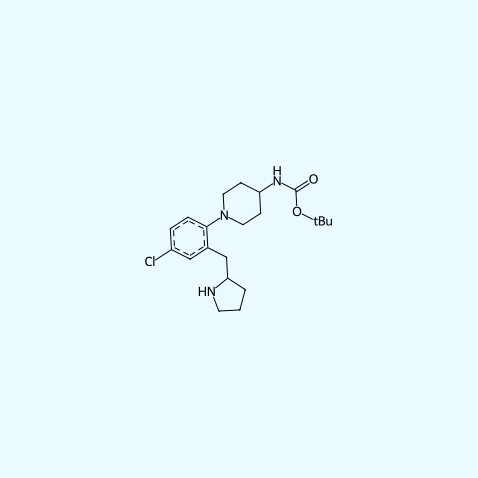 CC(C)(C)OC(=O)NC1CCN(c2ccc(Cl)cc2CC2CCCN2)CC1